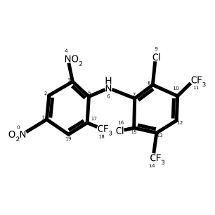 O=[N+]([O-])c1cc([N+](=O)[O-])c(Nc2c(Cl)c(C(F)(F)F)cc(C(F)(F)F)c2Cl)c(C(F)(F)F)c1